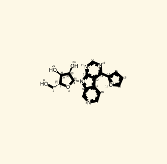 OC[C@H]1O[C@@H](n2c3cnccc3c3c(-c4ccco4)ncnc32)[C@H](O)[C@@H]1O